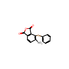 O=C1OC(=O)c2c1ccc([N+](=O)[O-])c2Sc1ccccc1